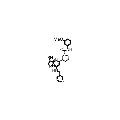 Bc1cnn2c(NCc3cccnc3)cc(C3CCCN(C(=O)Nc4cccc(OC)c4)C3)nc12